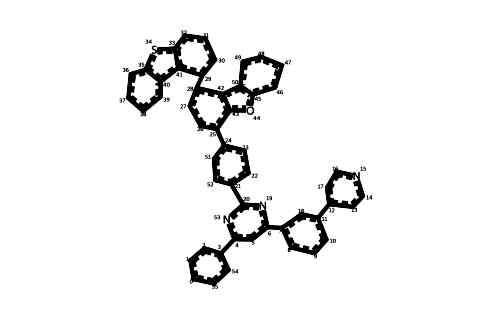 c1ccc(-c2cc(-c3cccc(-c4ccncc4)c3)nc(-c3ccc(-c4ccc(-c5cccc6sc7ccccc7c56)c5c4oc4ccccc45)cc3)n2)cc1